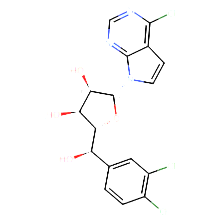 O[C@@H]1[C@H](O)[C@@H]([C@H](O)c2ccc(Cl)c(Cl)c2)O[C@H]1n1ccc2c(Cl)ncnc21